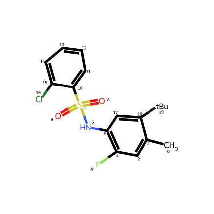 Cc1cc(F)c(NS(=O)(=O)c2ccccc2Cl)cc1C(C)(C)C